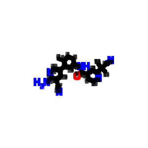 Cc1ccc(NC(=O)c2ccnc(C(C)(C)C#N)c2)cc1-c1cnc(N)c(C#N)c1